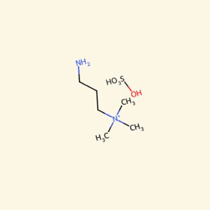 C[N+](C)(C)CCCN.O=S(=O)(O)O